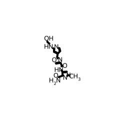 Cn1cc(NC(=O)c2coc(-c3ccnc(NCCO)c3)n2)c(C(N)=O)n1